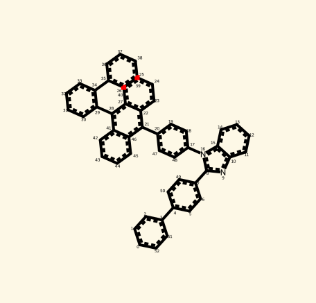 c1ccc(-c2ccc(-c3nc4ccccc4n3-c3ccc(-c4c5ccccc5c(-c5ccccc5-c5ccccc5)c5ccccc45)cc3)cc2)cc1